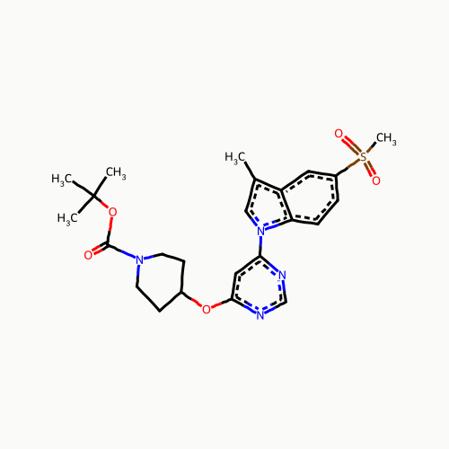 Cc1cn(-c2cc(OC3CCN(C(=O)OC(C)(C)C)CC3)ncn2)c2ccc(S(C)(=O)=O)cc12